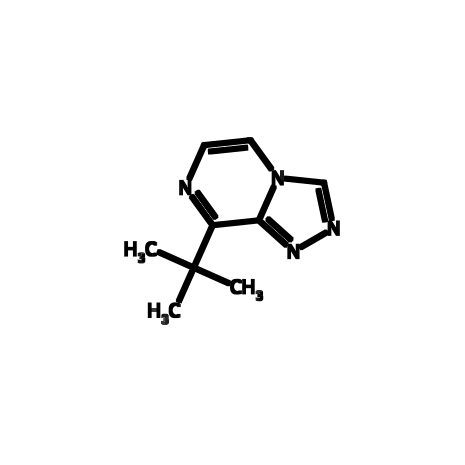 CC(C)(C)c1nccn2cnnc12